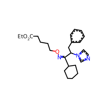 CCOC(=O)CCCCON=C(C1CCCCC1)C(Cc1ccccc1)n1ccnc1